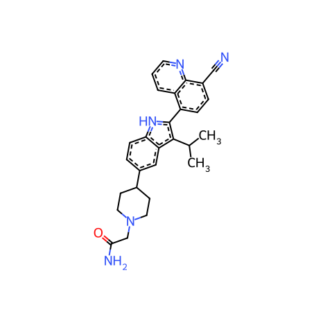 CC(C)c1c(-c2ccc(C#N)c3ncccc23)[nH]c2ccc(C3CCN(CC(N)=O)CC3)cc12